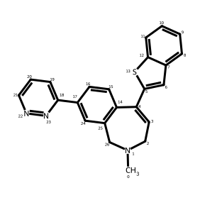 CN1CC=C(c2cc3ccccc3s2)c2ccc(-c3cccnn3)cc2C1